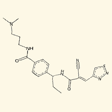 CCC(NC(=O)/C(C#N)=C/c1csnn1)c1ccc(C(=O)NCCCN(C)C)cc1